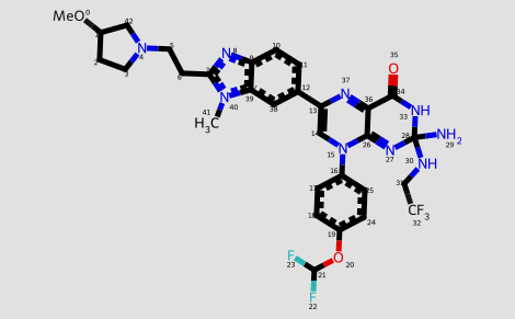 COC1CCN(CCc2nc3ccc(C4=CN(c5ccc(OC(F)F)cc5)C5=NC(N)(NCC(F)(F)F)NC(=O)C5=N4)cc3n2C)C1